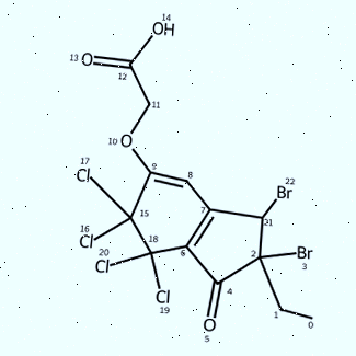 CCC1(Br)C(=O)C2=C(C=C(OCC(=O)O)C(Cl)(Cl)C2(Cl)Cl)C1Br